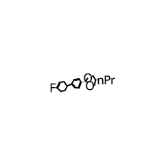 CCC[C@H]1CO[C@H](c2ccc(C3CC=C(F)CC3)cc2)OC1